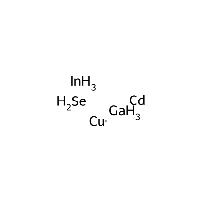 [Cd].[Cu].[GaH3].[InH3].[SeH2]